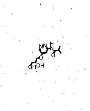 CC(C)C(=O)Nc1cc(OC[C@@H](O)CO)cnn1